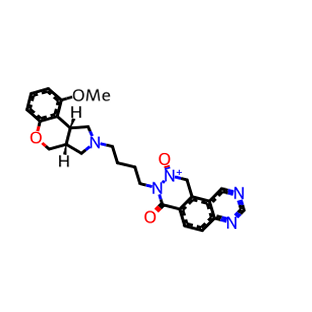 COc1cccc2c1[C@@H]1CN(CCCCN3C(=O)c4ccc5ncncc5c4C[N+]3=O)C[C@@H]1CO2